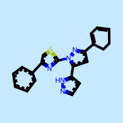 C1=CCCC(c2cc(-c3ccn[nH]3)n(-c3nc(-c4ccccc4)cs3)n2)=C1